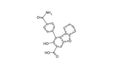 NC(=O)c1ccc(-c2c(O)c(C(=O)O)cc3oc4ccccc4c23)cc1